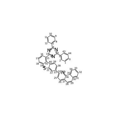 c1ccc(-c2nc(-c3ccccc3)nc(-c3cccc4sc5cc(-c6ccc7ccc8ccccc8c7n6)ccc5c34)n2)cc1